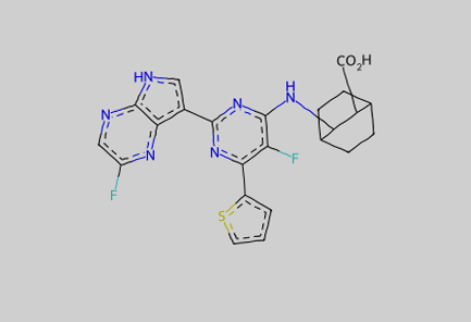 O=C(O)C1C2CCC(CC2)C1Nc1nc(-c2c[nH]c3ncc(F)nc23)nc(-c2cccs2)c1F